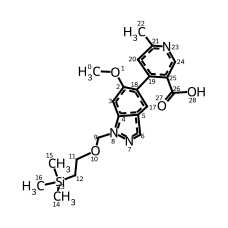 COc1cc2c(cnn2COCC[Si](C)(C)C)cc1-c1cc(C)ncc1C(=O)O